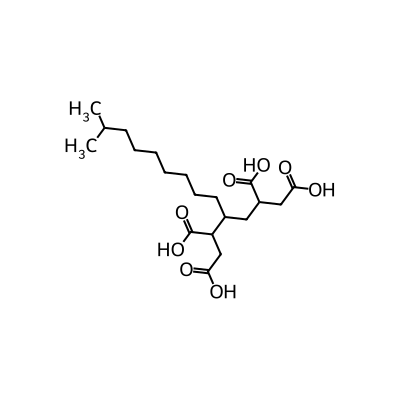 CC(C)CCCCCCCC(CC(CC(=O)O)C(=O)O)C(CC(=O)O)C(=O)O